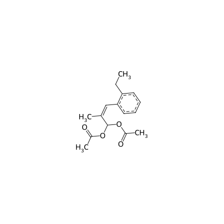 CCc1ccccc1C=C(C)C(OC(C)=O)OC(C)=O